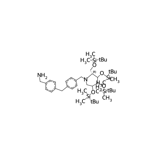 CC(C)(C)[Si](C)(C)OC[C@@H]1C(O[Si](C)(C)C(C)(C)C)C(O[Si](C)(C)C(C)(C)C)C(O[Si](C)(C)C(C)(C)C)CN1Cc1ccc(Cc2ccc(CN)cc2)cc1